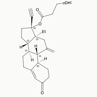 C#C[C@]1(OC(=O)CCCCCCCCCCCC)CC[C@H]2[C@@H]3CCC4=CC(=O)CC[C@@H]4[C@H]3C(=C)C[C@@]21CC